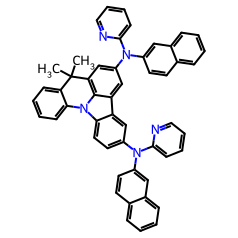 CC1(C)c2ccccc2-n2c3ccc(N(c4ccc5ccccc5c4)c4ccccn4)cc3c3cc(N(c4ccc5ccccc5c4)c4ccccn4)cc1c32